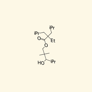 CCC(CC(C)C)(CC(C)C)C(=O)OCC(C)(C)C(O)C(C)C